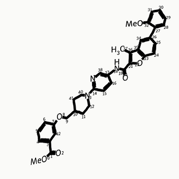 COC(=O)c1cccc(OCC2CCN(c3ccc(NC(=O)c4oc5ccc(-c6ccccc6OC)cc5c4C)cn3)CC2)c1